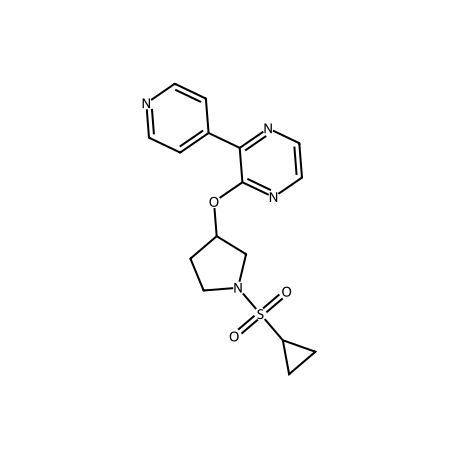 O=S(=O)(C1CC1)N1CCC(Oc2nccnc2-c2ccncc2)C1